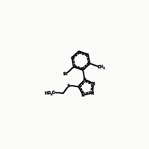 CCc1cccc(C)c1-n1nnnc1SCC(=O)O